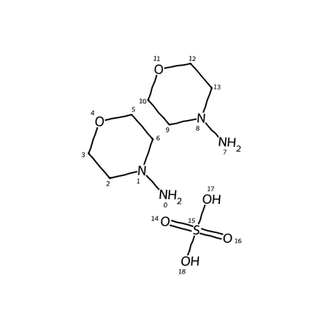 NN1CCOCC1.NN1CCOCC1.O=S(=O)(O)O